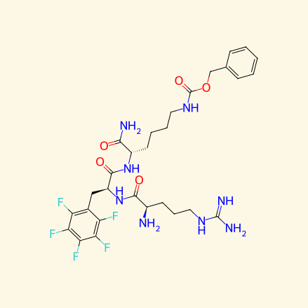 N=C(N)NCCC[C@@H](N)C(=O)N[C@@H](Cc1c(F)c(F)c(F)c(F)c1F)C(=O)N[C@@H](CCCCNC(=O)OCc1ccccc1)C(N)=O